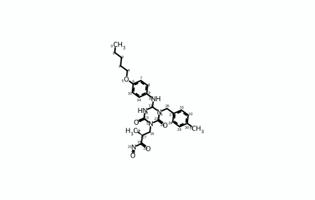 CCCCCOc1ccc(NC2NC(=O)N(C[C@H](C)C(=O)N=O)C(=O)N2Cc2ccc(C)cc2)cc1